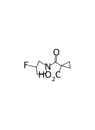 O=C(O)C1(C(=O)N2CCC(F)C2)CC1